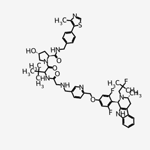 Cc1ncsc1-c1ccc(CNC(=O)[C@@H]2C[C@@H](O)CN2C(=O)C(NC(=O)CNCc2ccc(COc3cc(F)c([C@@H]4c5[nH]c6ccccc6c5C[C@@H](C)N4CC(C)(C)F)c(F)c3)nc2)C(C)(C)C)cc1